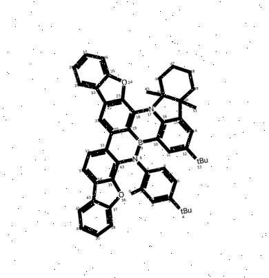 Cc1cc(C(C)(C)C)ccc1N1B2c3cc(C(C)(C)C)cc4c3N(c3c2c(cc2c3oc3ccccc32)-c2ccc3c(oc5ccccc53)c21)C1(C)CCCCC41C